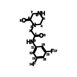 O=C(CN1CCNCC1=O)Nc1cc(F)cc(F)c1